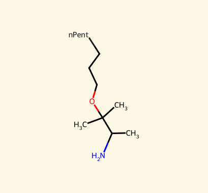 CCCCCCCCOC(C)(C)C(C)N